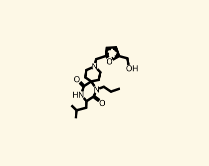 CCCN1C(=O)C(CC(C)C)NC(=O)C12CCN(Cc1ccc(CO)o1)CC2